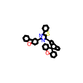 c1ccc2c(c1)Oc1ccccc1C21c2ccccc2-c2ccc(-c3nc(-c4ccc5oc6ccccc6c5c4)nc4c3sc3ccccc34)cc21